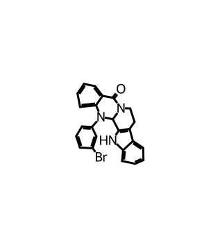 O=C1c2ccccc2N(c2cccc(Br)c2)C2c3[nH]c4ccccc4c3CCN12